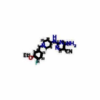 CCOc1cc(CN2CCC(Nc3ncc(C#N)c(N)n3)CC2)ccc1F